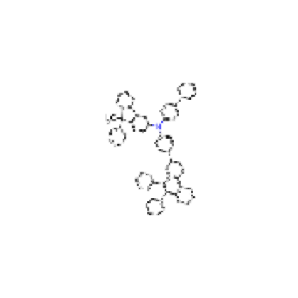 CC1(c2ccccc2)c2ccccc2-c2cc(N(c3ccc(-c4ccccc4)cc3)c3ccc(-c4ccc5c(c4)c(-c4ccccc4)c(-c4ccccc4)c4ccccc45)cc3)ccc21